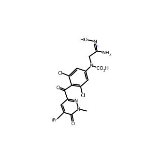 CC(C)c1cc(C(=O)c2c(Cl)cc(N(C/C(N)=N\O)C(=O)O)cc2Cl)nn(C)c1=O